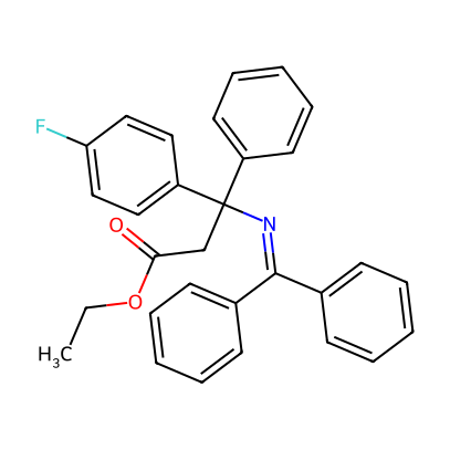 CCOC(=O)CC(N=C(c1ccccc1)c1ccccc1)(c1ccccc1)c1ccc(F)cc1